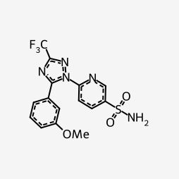 COc1cccc(-c2nc(C(F)(F)F)nn2-c2ccc(S(N)(=O)=O)cn2)c1